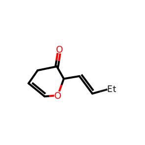 CCC=CC1OC=CCC1=O